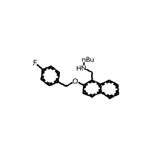 CCCCNCc1c(OCc2ccc(F)cc2)ccc2ccccc12